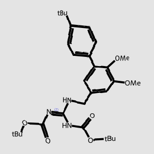 COc1cc(CN/C(=N/C(=O)OC(C)(C)C)NC(=O)OC(C)(C)C)cc(-c2ccc(C(C)(C)C)cc2)c1OC